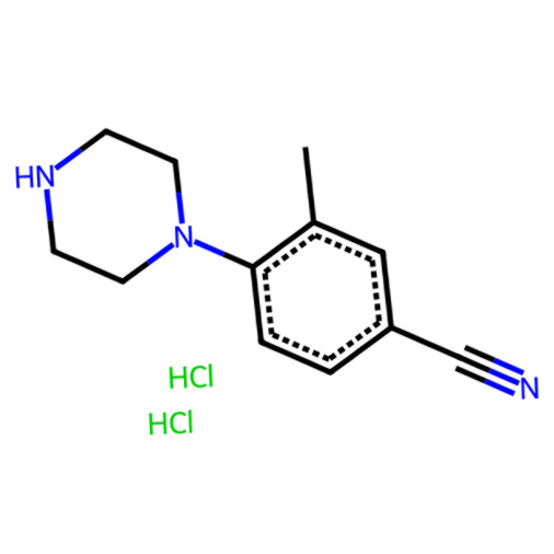 Cc1cc(C#N)ccc1N1CCNCC1.Cl.Cl